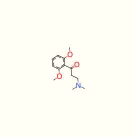 COc1cccc(OC)c1C(=O)CCN(C)C